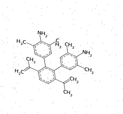 C=C(C)c1ccc(C(=C)C)c(-c2cc(C)c(N)c(C)c2)c1-c1cc(C)c(N)c(C)c1